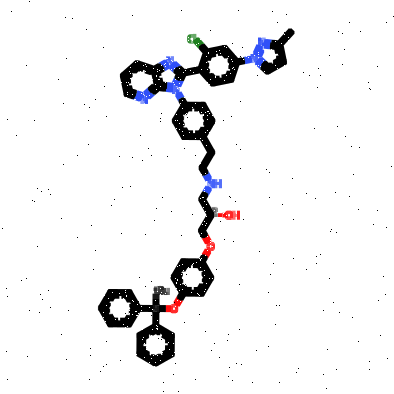 Cc1ccn(-c2ccc(-c3nc4cccnc4n3-c3ccc(CCNC[C@H](O)COc4ccc(O[Si](c5ccccc5)(c5ccccc5)C(C)(C)C)cc4)cc3)c(Cl)c2)n1